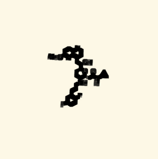 COc1ccc2nccc(C[C@H](O)[C@@H]3CC[C@@H](NC/C=C/c4cc(F)ccc4F)[C@@H](CC(=O)NC4CC4)O3)c2n1